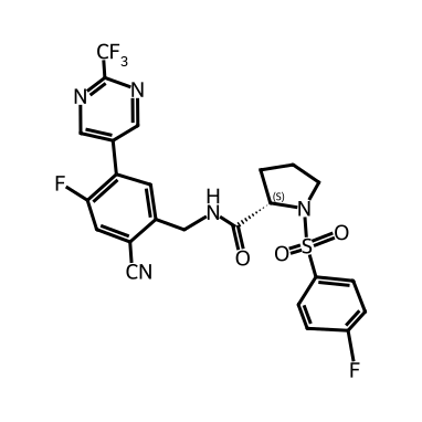 N#Cc1cc(F)c(-c2cnc(C(F)(F)F)nc2)cc1CNC(=O)[C@@H]1CCCN1S(=O)(=O)c1ccc(F)cc1